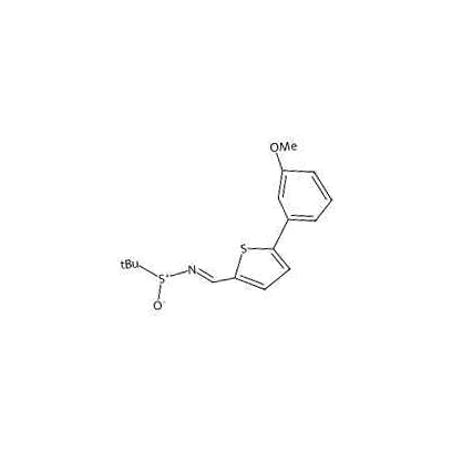 COc1cccc(-c2ccc(C=N[S+]([O-])C(C)(C)C)s2)c1